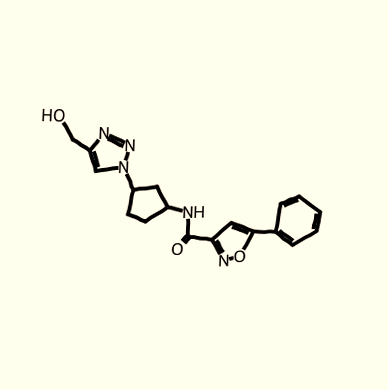 O=C(NC1CCC(n2cc(CO)nn2)C1)c1cc(-c2ccccc2)on1